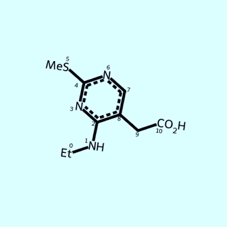 CCNc1nc(SC)ncc1CC(=O)O